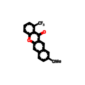 COc1ccc2cc3oc4cccc(C(F)(F)F)c4c(=O)c3cc2c1